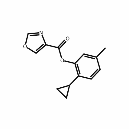 Cc1ccc(C2CC2)c(OC(=O)c2cocn2)c1